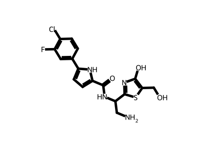 NCC(NC(=O)c1ccc(-c2ccc(Cl)c(F)c2)[nH]1)c1nc(O)c(CO)s1